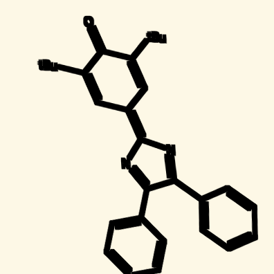 CC(C)(C)C1=CC(=C2N=C(c3ccccc3)C(c3ccccc3)=N2)C=C(C(C)(C)C)C1=O